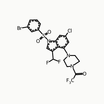 O=C(N1CCN(c2cc(Cl)cc3c2c(C(F)F)cn3S(=O)(=O)c2cccc(Br)c2)CC1)C(F)(F)F